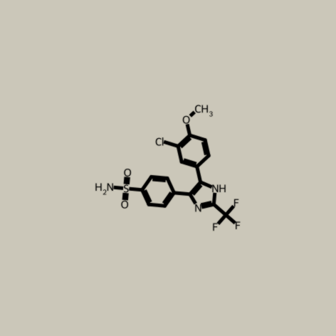 COc1ccc(-c2[nH]c(C(F)(F)F)nc2-c2ccc(S(N)(=O)=O)cc2)cc1Cl